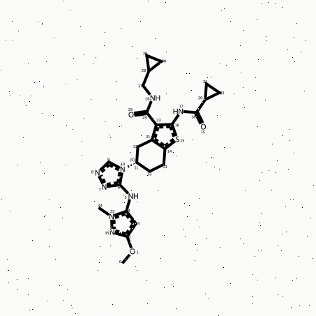 COc1cc(Nc2nncn2[C@H]2CCc3sc(NC(=O)C4CC4)c(C(=O)NCC4CC4)c3C2)n(C)n1